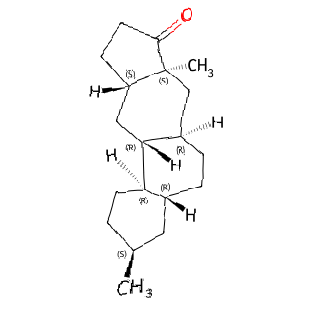 C[C@H]1CC[C@@H]2[C@H](CC[C@@H]3C[C@]4(C)C(=O)CC[C@H]4C[C@H]32)C1